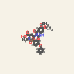 COc1cc2[nH]c(=O)n(CCC(C(=O)O)N(C)S(=O)(=O)c3ccc(Oc4ccccc4)cc3)c(=O)c2cc1OC